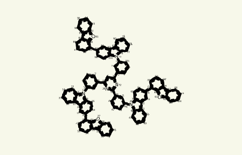 c1cc(-c2cc(-c3cccc(-n4c5ccccc5c5cc(-c6cccc7c6oc6ccccc67)ccc54)c3)nc(-c3cccc(-n4c5ccccc5c5cc(-c6cccc7c6oc6ccccc67)ccc54)c3)n2)cc(-n2c3ccccc3c3cc(-c4cccc5c4oc4ccccc45)ccc32)c1